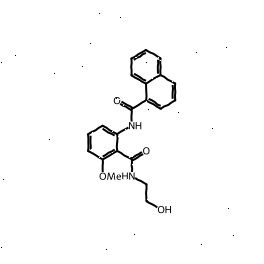 COc1cccc(NC(=O)c2cccc3ccccc23)c1C(=O)NCCO